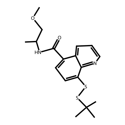 COCC(C)NC(=O)c1ccc(SSC(C)(C)C)c2ncccc12